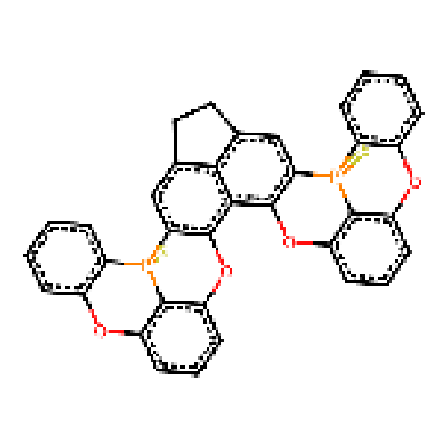 S=P12c3ccccc3Oc3cccc(c31)Oc1c2cc2c3c(cc4c(c13)Oc1cccc3c1P4(=S)c1ccccc1O3)CC2